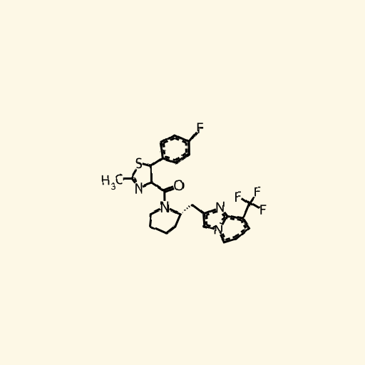 CC1=NC(C(=O)N2CCCC[C@H]2Cc2cn3cccc(C(F)(F)F)c3n2)C(c2ccc(F)cc2)S1